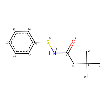 CC(C)(C)CC(=O)NSc1ccccc1